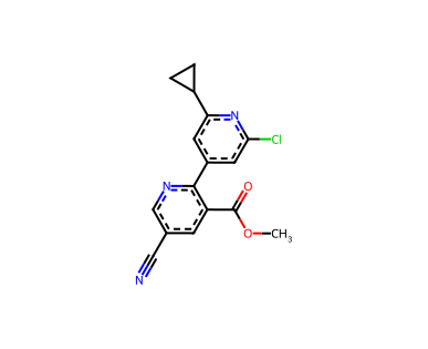 COC(=O)c1cc(C#N)cnc1-c1cc(Cl)nc(C2CC2)c1